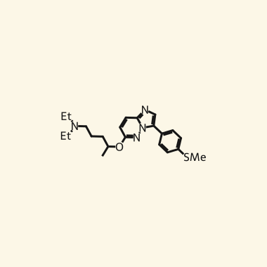 CCN(CC)CCCC(C)Oc1ccc2ncc(-c3ccc(SC)cc3)n2n1